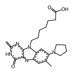 C=c1nc2c(c(=O)[nH]1)=Nc1cc(C)c(N3CCCC3)cc1N2CCCCCCC(=O)O